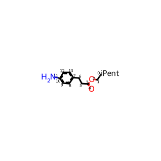 CCCC(C)COC(=O)CCc1ccc(N)cc1